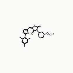 Cc1cc(C)c(-c2ccc(C=C3SC(=S)N(C4CCCC(C(=O)O)C4)C3=O)o2)c(C)c1